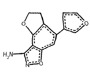 Nc1noc2cc(-c3ccoc3)c3c(c12)OCC3